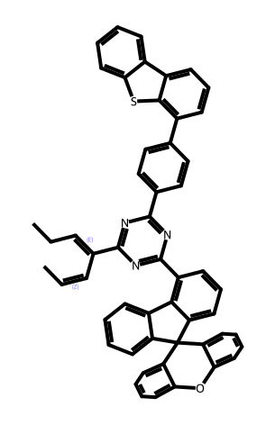 C/C=C\C(=C/CC)c1nc(-c2ccc(-c3cccc4c3sc3ccccc34)cc2)nc(-c2cccc3c2-c2ccccc2C32c3ccccc3Oc3ccccc32)n1